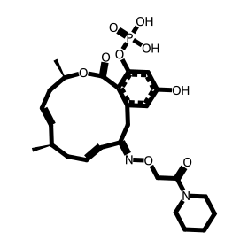 C[C@@H]1C/C=C/[C@H](C)C/C=C/C(=N/OCC(=O)N2CCCCC2)Cc2cc(O)cc(OP(=O)(O)O)c2C(=O)O1